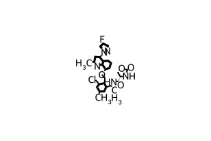 Cc1cc(Cl)c(COc2cccc3c(-n4cc(F)cn4)cc(C)nc23)c([C@H](C)NC(=O)[C@@H]2COC(=O)N2)c1